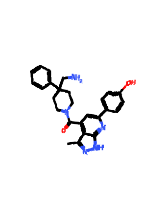 Cc1n[nH]c2nc(-c3ccc(O)cc3)cc(C(=O)N3CCC(CN)(c4ccccc4)CC3)c12